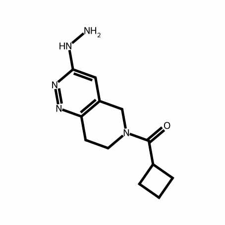 NNc1cc2c(nn1)CCN(C(=O)C1CCC1)C2